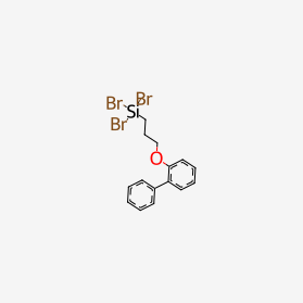 Br[Si](Br)(Br)CCCOc1ccccc1-c1ccccc1